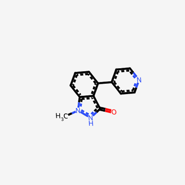 Cn1[nH]c(=O)c2c(-c3ccncc3)cccc21